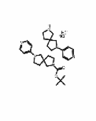 CC(C)(C)OC(=O)N1CCC2(CCN(c3ccncc3)C2)C1.Cl.Cl.c1cc(N2CCC3(CCNC3)C2)ccn1